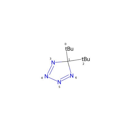 CC(C)(C)C1(C(C)(C)C)N=NN=N1